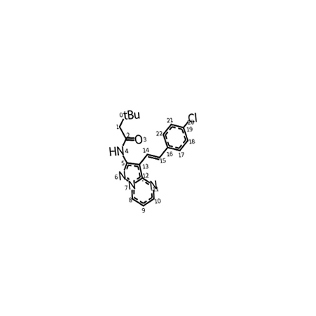 CC(C)(C)CC(=O)Nc1nn2cccnc2c1C=Cc1ccc(Cl)cc1